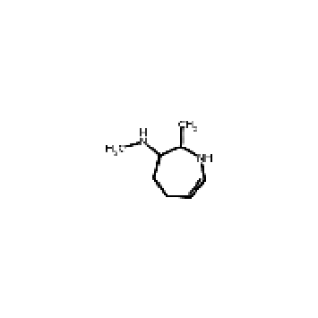 CNC1CCC=CNC1C